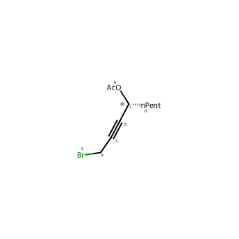 CCCCC[C@H](C#CCBr)OC(C)=O